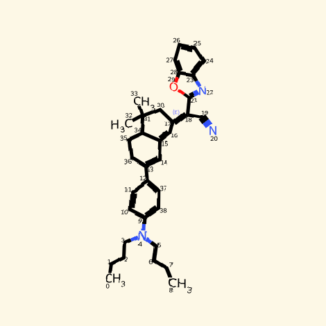 CCCCN(CCCC)c1ccc(C2=CC3=C/C(=C(\C#N)c4nc5ccccc5o4)CC(C)(C)C3CC2)cc1